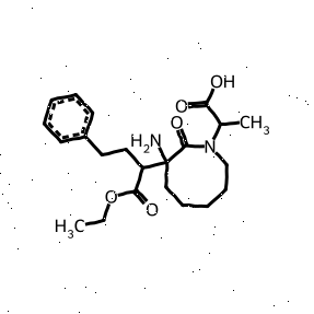 CCOC(=O)C(CCc1ccccc1)C1(N)CCCCCN(C(C)C(=O)O)C1=O